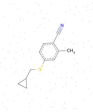 Cc1cc(SCC2CC2)ccc1C#N